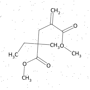 C=C(CC(C)(CC)C(=O)OC)C(=O)OC